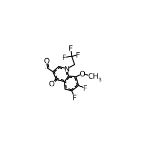 COc1c(F)c(F)cc2c(=O)c([C]=O)cn(CC(F)(F)F)c12